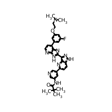 CN(C)CCOc1cc(F)cc(-c2ccnc3[nH]c(-c4n[nH]c5ccc(-c6cncc(NC(=O)C(C)(C)C)c6)nc45)nc23)c1